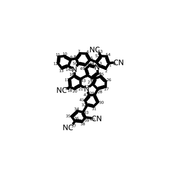 N#Cc1ccc(-c2ccc3c4ccccc4n(-c4cc(C#N)cc(-n5c6ccccc6c6ccc(-c7ccc(C#N)cc7C#N)cc65)c4-c4ccncc4)c3c2)c(C#N)c1